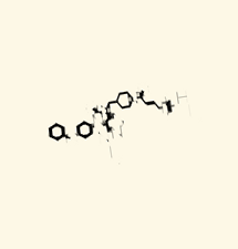 CN(C)CC=CC(=O)N1CCC(Cn2c(=O)n(-c3ccc(Oc4ccccc4)cc3)c3c(N)ncnc32)CC1